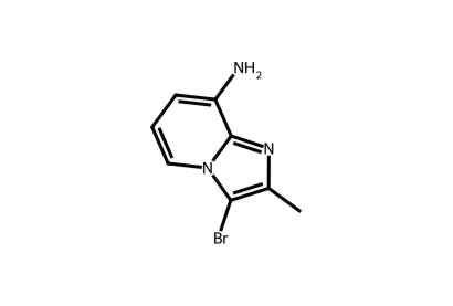 Cc1nc2c(N)cccn2c1Br